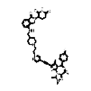 Cc1c(C#Cc2cnn(CCN3CCC(CNc4cccc5c4CN(C4CCC(=O)NC4=O)C5=O)CC3)c2)sc2c1C(c1ccc(Cl)cc1)=N[C@@H](C)C1=NN(C)C(C)N12